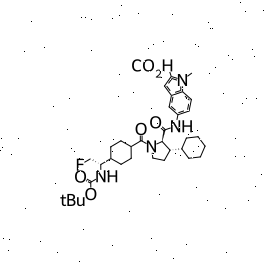 Cn1c(C(=O)O)cc2cc(NC(=O)[C@H]3[C@H](C4CCCCC4)CCN3C(=O)C3CCC([C@@H](CF)NC(=O)OC(C)(C)C)CC3)ccc21